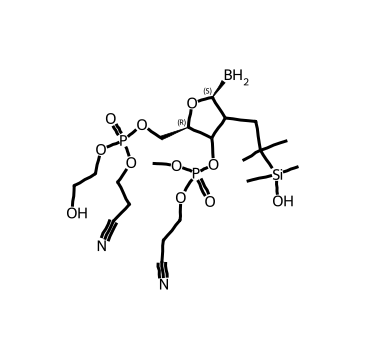 B[C@@H]1O[C@H](COP(=O)(OCCO)OCCC#N)C(OP(=O)(OC)OCCC#N)C1CC(C)(C)[Si](C)(C)O